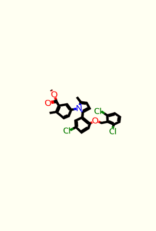 COC(=O)c1cc(-n2c(C)ccc2-c2cc(Cl)ccc2OCc2c(Cl)cccc2Cl)ccc1C